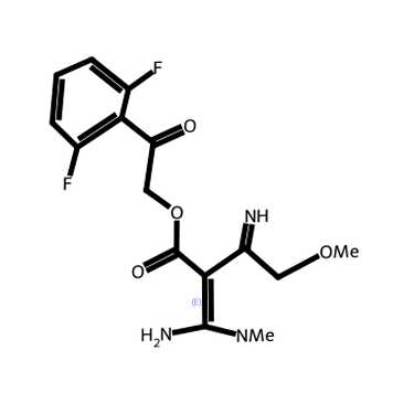 CN/C(N)=C(\C(=N)COC)C(=O)OCC(=O)c1c(F)cccc1F